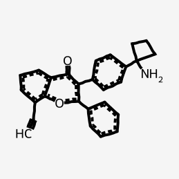 C#Cc1cccc2c(=O)c(-c3ccc(C4(N)CCC4)cc3)c(-c3ccccc3)oc12